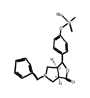 CC(C)(C)[Si](C)(C)Oc1ccc(C2OC(=O)[C@H]3CN(Cc4ccccc4)C[C@@H]23)cc1